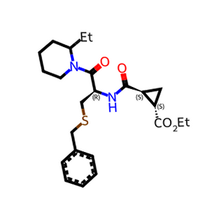 CCOC(=O)[C@H]1C[C@@H]1C(=O)N[C@@H](CSCc1ccccc1)C(=O)N1CCCCC1CC